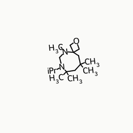 CC(C)N1CN(C)C2(COC2)CC(C)(C)CC1(C)C